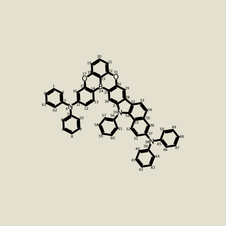 c1ccc(N(c2ccccc2)c2ccc3c(c2)Oc2cccc4c2B3c2cc3c(cc2O4)c2ccc4cc(N(c5ccccc5)c5ccccc5)ccc4c2n3-c2ccccc2)cc1